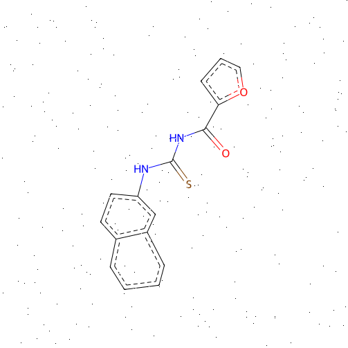 O=C(NC(=S)Nc1ccc2ccccc2c1)c1ccco1